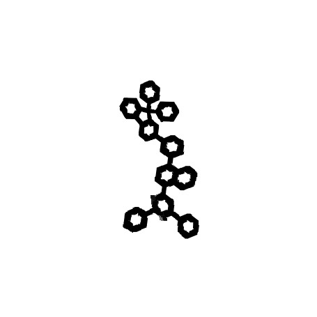 c1ccc(-c2cc(-c3ccc(-c4cccc(-c5ccc6c(c5)C(c5ccccc5)(c5ccccc5)c5ccccc5-6)c4)c4ccccc34)nc(-c3ccccc3)n2)cc1